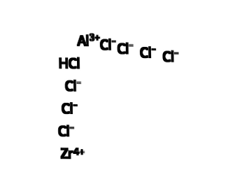 Cl.[Al+3].[Cl-].[Cl-].[Cl-].[Cl-].[Cl-].[Cl-].[Cl-].[Zr+4]